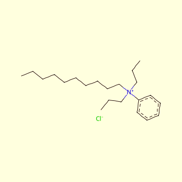 CCCCCCCCCC[N+](CCC)(CCC)c1ccccc1.[Cl-]